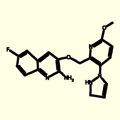 COc1ccc(N2C=CCN2)c(COc2cc3cc(F)ccc3nc2N)n1